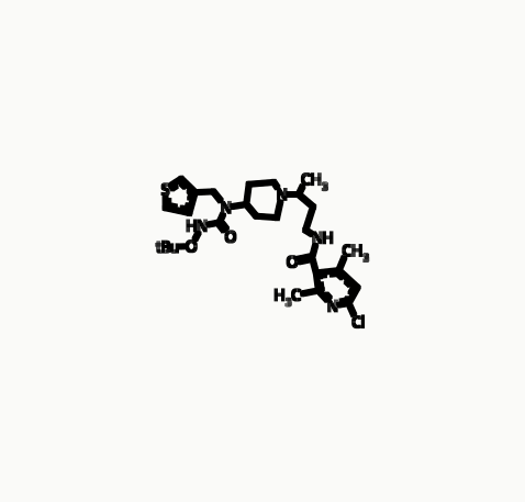 Cc1cc(Cl)nc(C)c1C(=O)NCCC(C)N1CCC(N(Cc2ccsc2)C(=O)NOC(C)(C)C)CC1